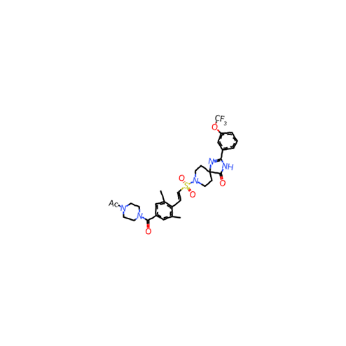 CC(=O)N1CCN(C(=O)c2cc(C)c(C=CS(=O)(=O)N3CCC4(CC3)N=C(c3cccc(OC(F)(F)F)c3)NC4=O)c(C)c2)CC1